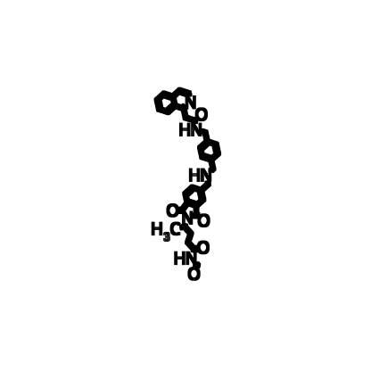 CC(CCC(=O)NC=O)N1C(=O)c2ccc(CNCc3ccc(CNC(=O)Cc4nccc5ccccc45)cc3)cc2C1=O